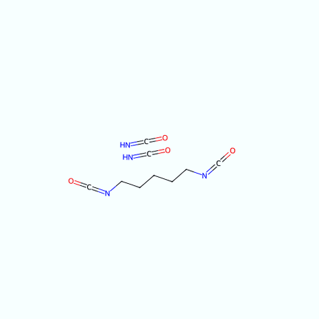 N=C=O.N=C=O.O=C=NCCCCCN=C=O